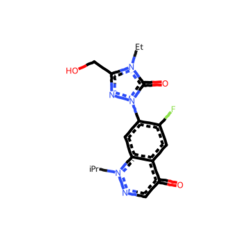 CCn1c(CO)nn(-c2cc3c(cc2F)c(=O)cnn3C(C)C)c1=O